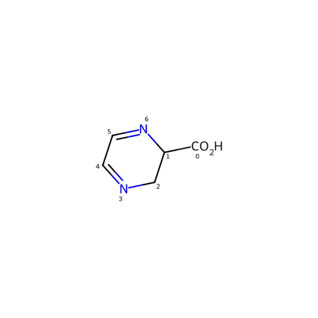 O=C(O)C1CN=CC=N1